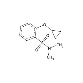 CN(C)S(=O)(=O)c1ccccc1OC1CC1